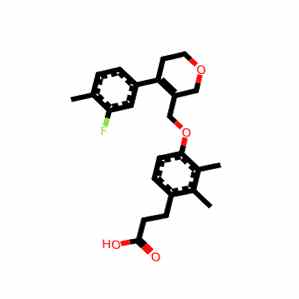 Cc1ccc(C2=C(COc3ccc(CCC(=O)O)c(C)c3C)COCC2)cc1F